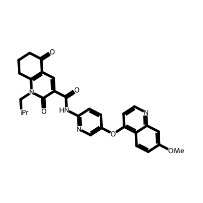 COc1ccc2c(Oc3ccc(NC(=O)c4cc5c(n(CC(C)C)c4=O)CCCC5=O)nc3)ccnc2c1